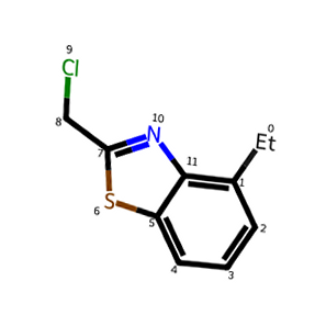 CCc1cccc2sc(CCl)nc12